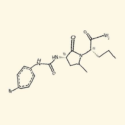 CCC[C@@H](C(N)=O)N1C(=O)[C@@H](NC(=O)Nc2ccc(Br)cc2)CC1C